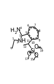 CCNC(N)c1ccccc1C(C)[Si](OC)(OC)OC